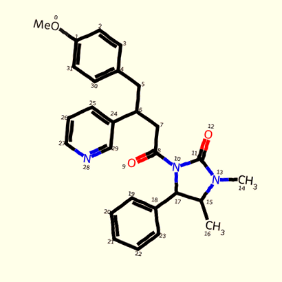 COc1ccc(CC(CC(=O)N2C(=O)N(C)C(C)C2c2ccccc2)c2cccnc2)cc1